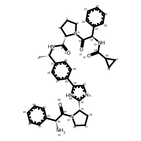 C[C@H](NC(=O)[C@@H]1CCCN1C(=O)[C@H](NC(=O)C1CC1)c1ccccc1)c1ccc(-c2cnc([C@@H]3CCCN3C(=O)[C@H](N)c3ccccc3)[nH]2)cc1